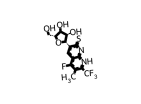 Cc1c(C(F)(F)F)[nH]c2nc(=S)c([C@@H]3O[C@H](CO)C(O)[C@@H]3O)cc-2c1F